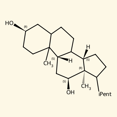 CCCC(C)C1CC[C@H]2C3CCC4C[C@H](O)CCC4(C)[C@H]3C[C@H](O)[C@]12C